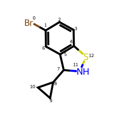 Brc1ccc2c(c1)C(C1CC1)NS2